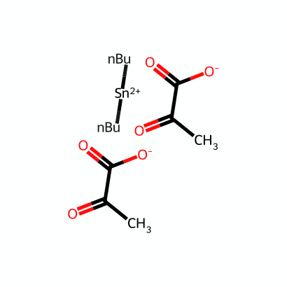 CC(=O)C(=O)[O-].CC(=O)C(=O)[O-].CCC[CH2][Sn+2][CH2]CCC